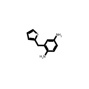 Nc1ccc(N)c(Cc2cccs2)c1